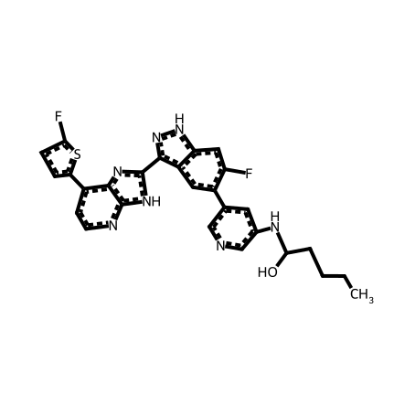 CCCCC(O)Nc1cncc(-c2cc3c(-c4nc5c(-c6ccc(F)s6)ccnc5[nH]4)n[nH]c3cc2F)c1